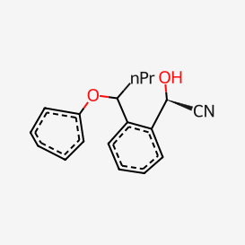 CCCC(Oc1ccccc1)c1ccccc1[C@@H](O)C#N